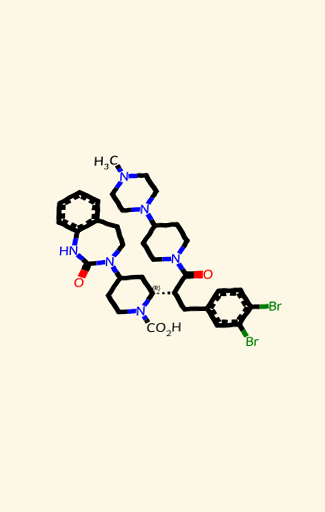 CN1CCN(C2CCN(C(=O)C(Cc3ccc(Br)c(Br)c3)[C@H]3CC(N4CCc5ccccc5NC4=O)CCN3C(=O)O)CC2)CC1